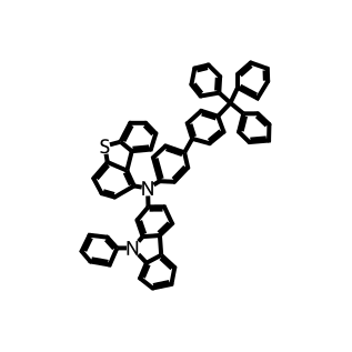 c1ccc(-n2c3ccccc3c3ccc(N(c4ccc(-c5ccc(C(c6ccccc6)(c6ccccc6)c6ccccc6)cc5)cc4)c4cccc5sc6ccccc6c45)cc32)cc1